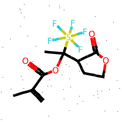 C=C(C)C(=O)OC(C)(C1CCOC1=O)S(F)(F)(F)(F)F